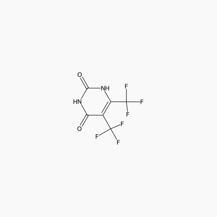 O=c1[nH]c(C(F)(F)F)c(C(F)(F)F)c(=O)[nH]1